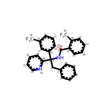 O=C(NC(Cc1ccccc1)(c1cccc(C(F)(F)F)c1)c1ccccn1)c1ccccc1C(F)(F)F